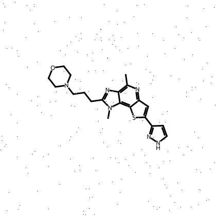 Cc1nc2cc(-c3cc[nH]n3)sc2c2c1nc(CCCN1CCOCC1)n2C